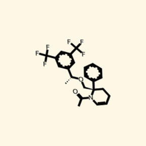 CC(=O)N1C=CCC[C@@]1(CO[C@H](C)c1cc(C(F)(F)F)cc(C(F)(F)F)c1)c1ccccc1